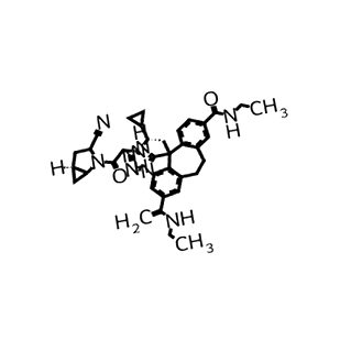 C=C(NCC)c1ccc2c(c1)CCc1cc(C(=O)NCC)ccc1C2(C[C@H](NCC(=O)N1C(C#N)C[C@@H]2CC21)C1CC1)c1nnn[nH]1